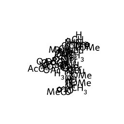 C#CCC(OC(=O)N(C)[C@H](C(=O)N[C@H](C(=O)N(C)[C@@H](C(C)CC)[C@@H](CC(=O)N1CCC[C@H]1[C@H](OC)[C@@H](C)C(=O)NC(Cc1ccccc1)C(=O)OC)OC)C(C)C)C(C)C)c1ccc(O[C@@H]2O[C@H](COC(C)=O)[C@H](OC(C)=O)[C@H](OC(C)=O)[C@H]2OC(C)=O)c2cc(COC(=O)N(C)[C@H](C(=O)N[C@H](C(=O)N(C)[C@@H](C(C)CC)[C@@H](CC(=O)N3CCC[C@H]3[C@H](OC)[C@@H](C)C(=O)NC(Cc3ccccc3)C(=O)OC)OC)C(C)C)C(C)C)oc12